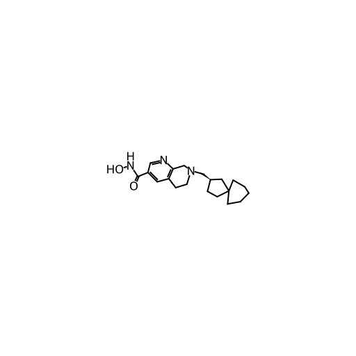 O=C(NO)c1cnc2c(c1)CCN(C[C@@H]1CCC3(CCCCC3)C1)C2